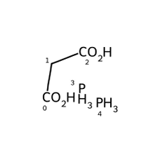 O=C(O)CC(=O)O.P.P